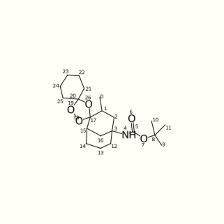 CC1CC2(NC(=O)OC(C)(C)C)CCCC(C2)C12OOC1(CCCCC1)O2